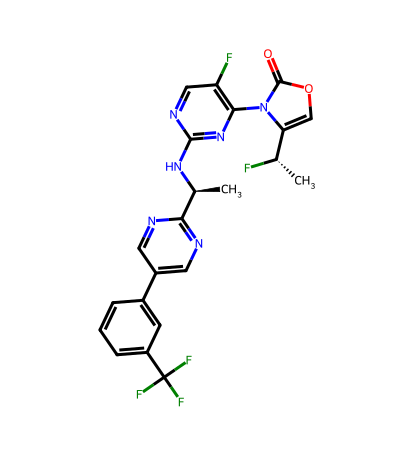 C[C@H](F)c1coc(=O)n1-c1nc(N[C@@H](C)c2ncc(-c3cccc(C(F)(F)F)c3)cn2)ncc1F